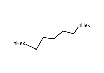 [CH2]CC[CH]CCCCCCCCCCCC[CH2]